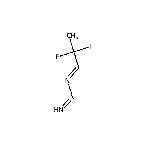 CC(F)(I)/C=N/N=N